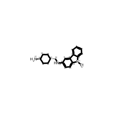 CCn1c2ccccc2c2cc(NC[C@H]3CC[C@H](N)CC3)ccc21